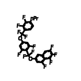 CCCc1ccc(C(F)(F)Oc2cc(F)c(C(F)(F)Oc3cc(F)c4c(F)c(F)c(F)cc4c3)c(F)c2)c(F)c1F